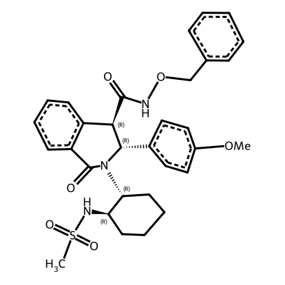 COc1ccc([C@H]2[C@H](C(=O)NOCc3ccccc3)c3ccccc3C(=O)N2[C@@H]2CCCC[C@H]2NS(C)(=O)=O)cc1